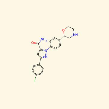 NC(=O)c1cc(-c2ccc(F)cc2)nn1-c1ccc([C@H]2CNCCO2)cc1